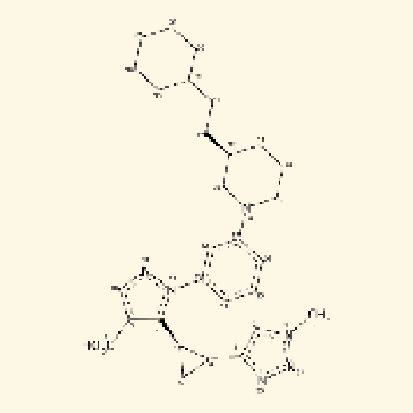 Cn1cc([C@@H]2C[C@H]2c2c(C(=O)O)cnn2-c2cccc(N3CCC[C@H](CCC4CCCCC4)C3)c2)nn1